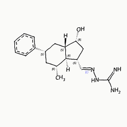 C[C@@H]1C[C@H](c2ccccc2)C[C@H]2[C@H]1[C@@H](/C=N/NC(=N)N)C[C@H]2O